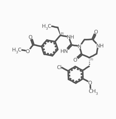 CC[C@@H](NC(=N)N1CC(=O)NC[C@H](Cc2cc(Cl)ccc2OC)C1=O)c1cccc(C(=O)OC)c1